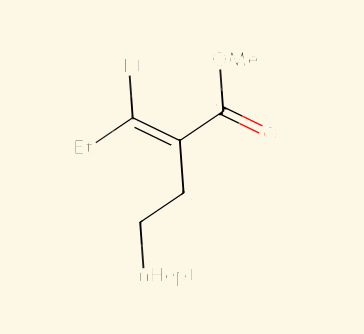 CCCCCCCCCC(C(=O)OC)=C(CC)CC